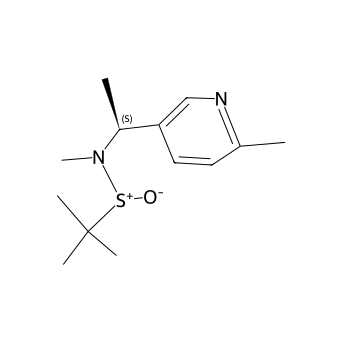 Cc1ccc([C@H](C)N(C)[S+]([O-])C(C)(C)C)cn1